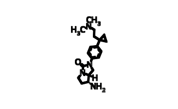 CN(C)CCC1(c2ccc(N3C[C@@H]4[C@H](N)CCN4C3=O)cc2)CC1